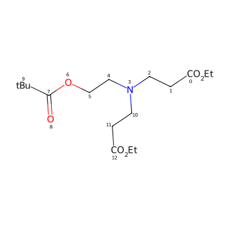 CCOC(=O)CCN(CCOC(=O)C(C)(C)C)CCC(=O)OCC